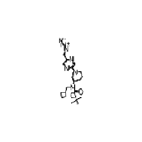 CC(C)(C)OC(=O)N(CC1CCC1)C1CCCN(c2cnc(CN=[N+]=[N-])cn2)C1